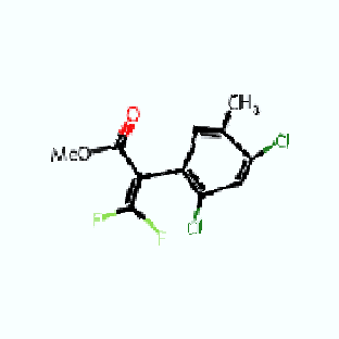 COC(=O)C(=C(F)F)c1cc(C)c(Cl)cc1Cl